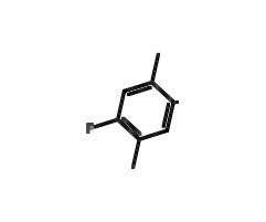 Cc1[c]cc(C)c(F)c1